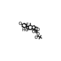 CC1C2C[C@@H](C)[C@](O)(C(=O)COC(=O)C(C)(C)C)[C@@]2(C)C[C@H](O)[C@]1(F)C1(C)C=CC(=O)C=C1